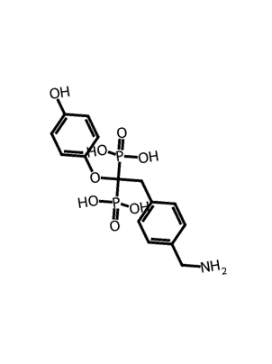 NCc1ccc(CC(Oc2ccc(O)cc2)(P(=O)(O)O)P(=O)(O)O)cc1